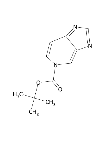 CC(C)(C)OC(=O)n1ccc2ncnc-2c1